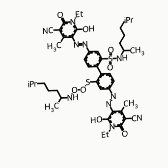 CCn1c(O)c(N=Nc2ccc(-c3ccc(N=Nc4c(C)c(C#N)c(=O)n(CC)c4O)cc3S(=O)(=O)NC(C)CCCC(C)C)c(SOONC(C)CCCC(C)C)c2)c(C)c(C#N)c1=O